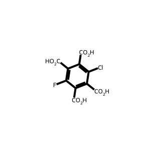 O=C(O)c1c(F)c(C(=O)O)c(C(=O)O)c(Cl)c1C(=O)O